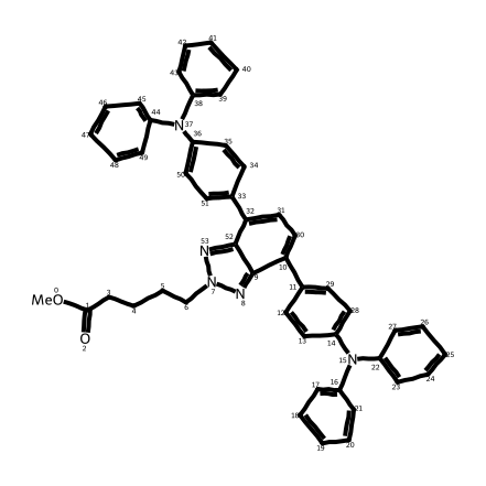 COC(=O)CCCCn1nc2c(-c3ccc(N(c4ccccc4)c4ccccc4)cc3)ccc(-c3ccc(N(c4ccccc4)c4ccccc4)cc3)c2n1